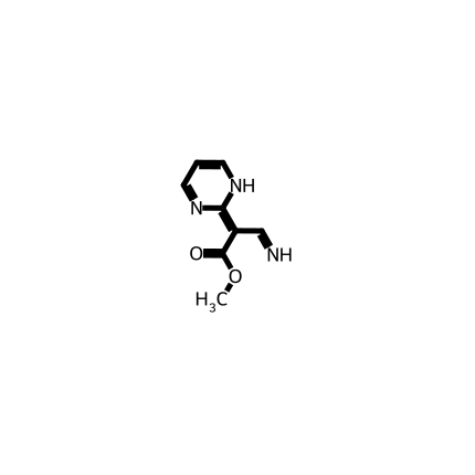 COC(=O)/C(C=N)=C1\N=CC=CN1